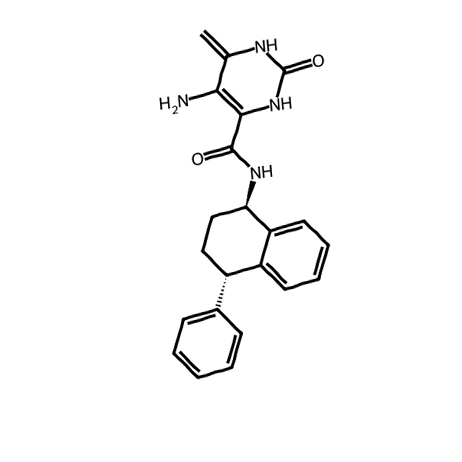 C=C1NC(=O)NC(C(=O)N[C@@H]2CC[C@@H](c3ccccc3)c3ccccc32)=C1N